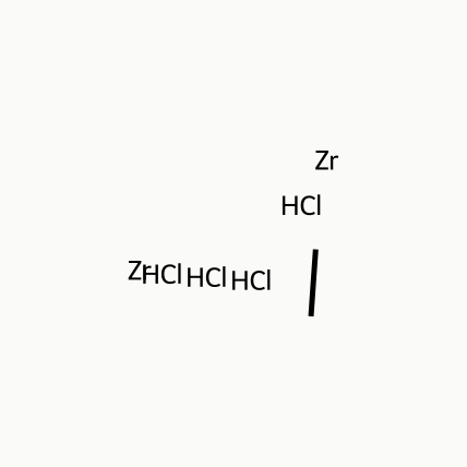 CC.Cl.Cl.Cl.Cl.[Zr].[Zr]